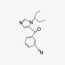 CCC(CC)n1cncc1C(=O)c1cccc(C#N)c1